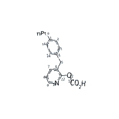 CCCc1ccc(Cc2cccnc2OC(=O)O)cc1